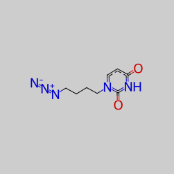 [N-]=[N+]=NCCCCn1ccc(=O)[nH]c1=O